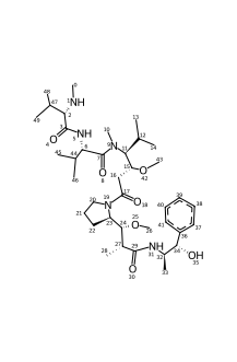 CN[C@H](C(=O)N[C@H](C(=O)N(C)[C@@H](C(C)C)[C@@H](CC(=O)N1CCC[C@@H]1[C@H](OC)[C@@H](C)C(=O)N[C@H](C)[C@@H](O)c1ccccc1)OC)C(C)C)C(C)C